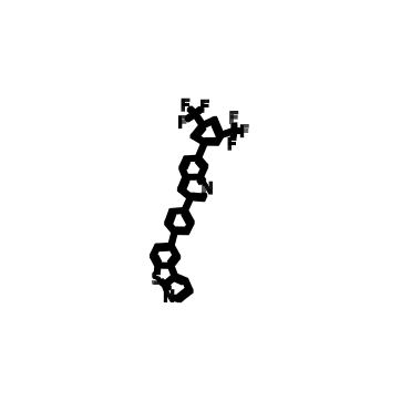 FC(F)(F)c1cc(-c2ccc3cc(-c4ccc(-c5ccc6sc7ncccc7c6c5)cc4)cnc3c2)cc(C(F)(F)F)c1